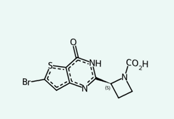 O=C(O)N1CC[C@H]1c1nc2cc(Br)sc2c(=O)[nH]1